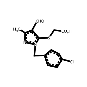 Cc1nn(Cc2ccc(Cl)cc2)c(SCC(=O)O)c1C=O